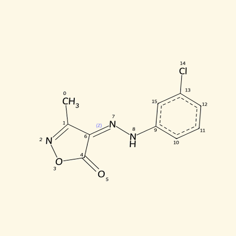 CC1=NOC(=O)/C1=N\Nc1cccc(Cl)c1